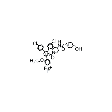 CCOc1cc(C(F)(F)F)ccc1C1=NC(c2ccc(Cl)cc2)C(c2ccc(Cl)cc2)N1C(=O)N1CCC(NC(=O)CN2CCC(CO)CC2)CC1